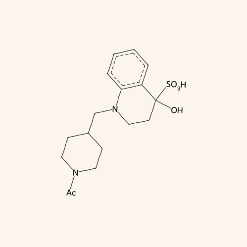 CC(=O)N1CCC(CN2CCC(O)(S(=O)(=O)O)c3ccccc32)CC1